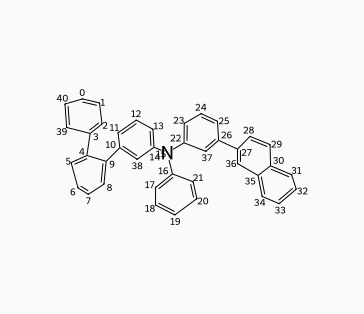 c1ccc(-c2ccccc2-c2cccc(N(c3ccccc3)c3cccc(-c4ccc5ccccc5c4)c3)c2)cc1